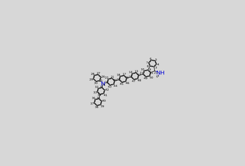 CNC1c2ccccc2-c2cc(-c3ccc(-c4ccc(-c5ccc(N(c6ccccc6)c6ccc(-c7ccccc7)cc6)cc5)cc4)cc3)ccc21